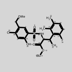 COCc1cc(S(=O)(=O)N[C@H](C(=O)OC(C)(C)C)C(C)c2c(F)ccc(C)c2C)c(O)cc1Cl